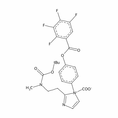 CN(CCC1=NC=C[N+]1(C(=O)[O-])c1ccc(OC(=O)c2cc(F)c(F)c(F)c2F)cc1)C(=O)OC(C)(C)C